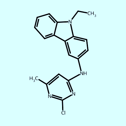 CCn1c2ccccc2c2cc(Nc3cc(C)nc(Cl)n3)ccc21